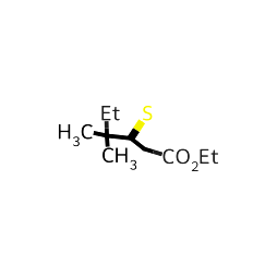 CCOC(=O)CC(=S)C(C)(C)CC